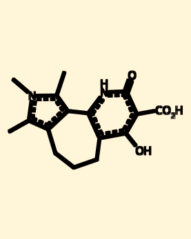 Cc1c2c(c(C)n1C)-c1[nH]c(=O)c(C(=O)O)c(O)c1CCC2